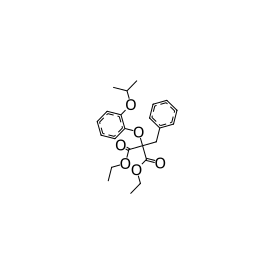 CCOC(=O)C(Cc1ccccc1)(Oc1ccccc1OC(C)C)C(=O)OCC